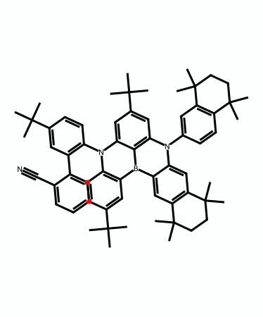 CC(C)(C)c1ccc2c(c1)B1c3cc4c(cc3N(c3ccc5c(c3)C(C)(C)CCC5(C)C)c3cc(C(C)(C)C)cc(c31)N2c1ccc(C(C)(C)C)cc1-c1ccccc1C#N)C(C)(C)CCC4(C)C